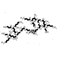 C=CCCC(=O)OC(CC(C)C(=O)OC(COC(=O)C(C)CC(OC(=O)CCC=C)C(=O)OCCO)CSCC(C)C(=O)OCCC[Si](C)(C)O[Si](C)(C)CCCOC(=O)C(C)CSCC(COC(=O)C(C)CC(OC(=O)CCC=C)C(=O)OCCO)OC(=O)C(C)CC(OC(=O)CCO)OC(=O)CCC=C)OC(=O)CCO